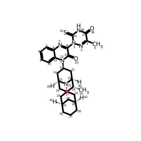 Cc1nn(-c2nc3ccccc3n([C@@H]3C[C@@H]4CC[C@@H](C)[C@H](C3)N4[C@H]3C[C@@H]4CCC[C@@H](C4)C3)c2=O)c(=S)[nH]c1=O